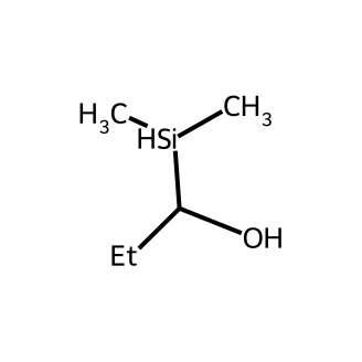 CCC(O)[SiH](C)C